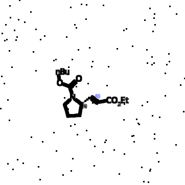 CCCCOC(=O)N1CCC[C@H]1/C=C/C(=O)OCC